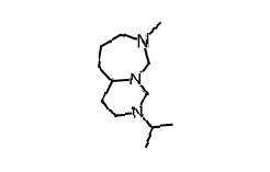 CC(C)N1CCC2CCCN(C)CN2C1